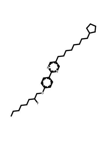 CCCCCCC(F)COc1ccc(-c2ncc(CCCCCCCCC3CCCC3)cn2)cc1